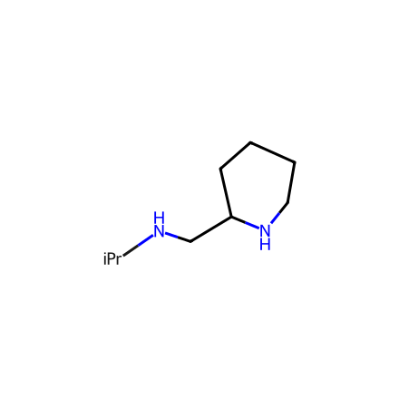 CC(C)NCC1CCCCN1